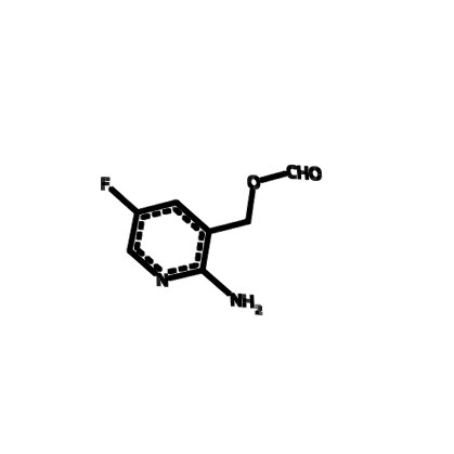 Nc1ncc(F)cc1COC=O